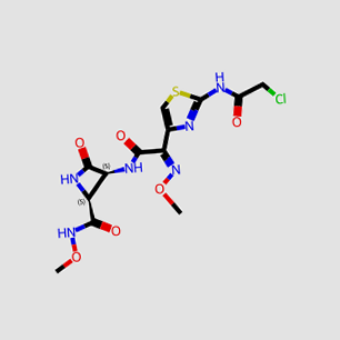 CON=C(C(=O)N[C@@H]1C(=O)N[C@@H]1C(=O)NOC)c1csc(NC(=O)CCl)n1